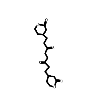 O=C1CC(CCC(=S)CCC(=S)CCC2CCOC(=O)C2)CCO1